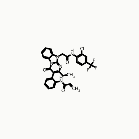 C=CC(=O)Nc1ccccc1-c1c(CC)nc2n(CC(=O)Nc3ccc(C(F)(F)F)cc3Cl)c3ccccc3n2c1=O